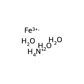 O.O.O.[Fe+3].[NH4+]